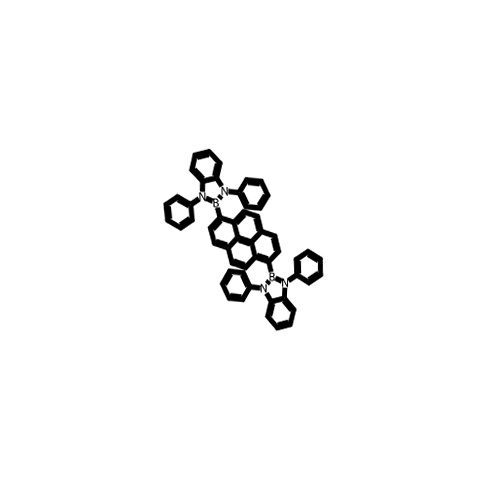 c1ccc(N2B(c3ccc4ccc5c(B6N(c7ccccc7)c7ccccc7N6c6ccccc6)ccc6ccc3c4c65)N(c3ccccc3)c3ccccc32)cc1